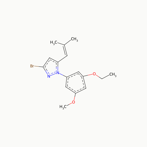 CCOc1cc(OC)cc(-n2nc(Br)cc2C=C(C)C)c1